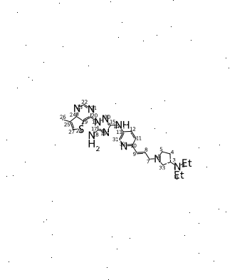 CCN(CC)C1CCN(C/C=C/c2ccc(Nc3nc(N)n(-c4ncnc5c(C)csc45)n3)cn2)C1